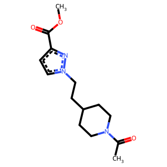 COC(=O)c1ccn(CCC2CCN(C(C)=O)CC2)n1